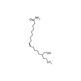 CCCC(CO)CCCC/C=C\CCCCCCCC(N)=O